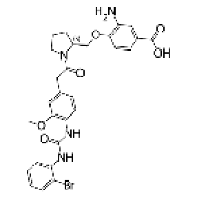 COc1cc(CC(=O)N2CCC[C@H]2COc2ccc(C(=O)O)cc2N)ccc1NC(=O)Nc1ccccc1Br